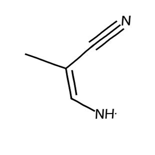 CC(C#N)=C[NH]